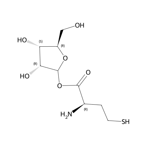 N[C@H](CCS)C(=O)OC1O[C@H](CO)[C@@H](O)[C@H]1O